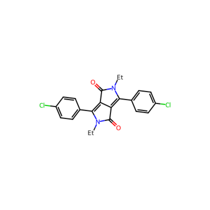 CCN1C(=O)C2=C(c3ccc(Cl)cc3)N(CC)C(=O)C2=C1c1ccc(Cl)cc1